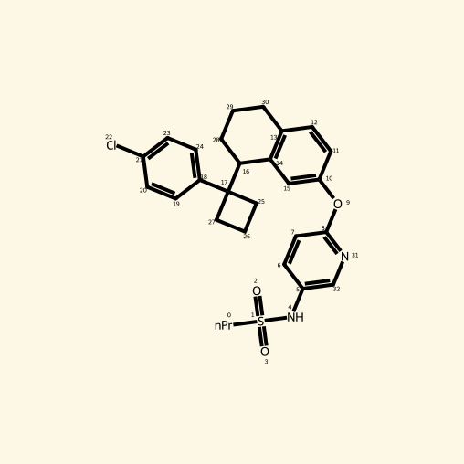 CCCS(=O)(=O)Nc1ccc(Oc2ccc3c(c2)C(C2(c4ccc(Cl)cc4)CCC2)CCC3)nc1